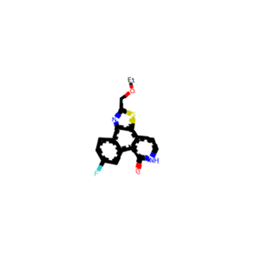 CCOCc1nc2c3ccc(F)cc3c3c(=O)[nH]ccc3c2s1